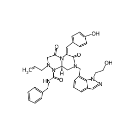 C=CCN1CC(=O)N2/C(=C/c3ccc(O)cc3)C(=O)N(Cc3cccc4cnn(CCO)c34)C[C@@H]2N1C(=O)NCc1ccccc1